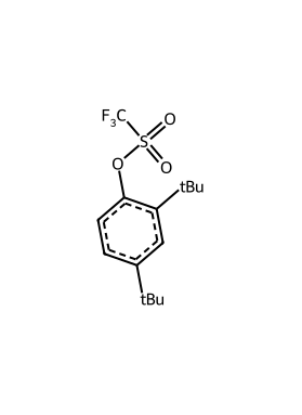 CC(C)(C)c1ccc(OS(=O)(=O)C(F)(F)F)c(C(C)(C)C)c1